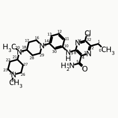 CCc1nc(C(N)=O)c(Nc2cccc(N3CCC(N(C)C4CCN(C)CC4)CC3)c2)nc1Cl